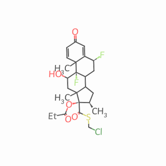 CCC(=O)O[C@]1(C(=O)SCCl)[C@H](C)CC2C3C[C@H](F)C4=CC(=O)C=CC4(C)[C@@]3(F)C(O)CC21C